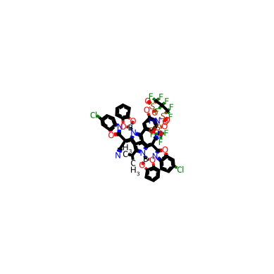 CC(C)c1c2/c(=C(\C#N)c3nc4ccc(Cl)cc4o3)n(B3Oc4ccccc4O3)c(-c3cccc(OS(=O)(=O)C(F)(F)C(F)(F)C(F)(F)S(=O)(=O)NS(=O)(=O)C(F)(F)F)c3)c2/c(=C(\C#N)c2nc3ccc(Cl)cc3o2)n1B1Oc2ccccc2O1